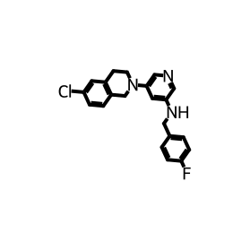 Fc1ccc(CNc2cncc(N3CCc4cc(Cl)ccc4C3)c2)cc1